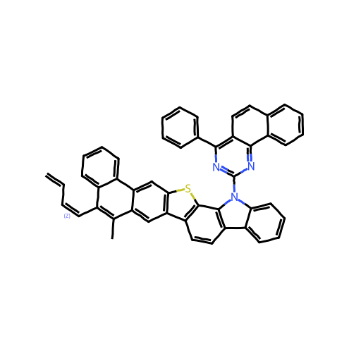 C=C/C=C\c1c(C)c2cc3c(cc2c2ccccc12)sc1c3ccc2c3ccccc3n(-c3nc(-c4ccccc4)c4ccc5ccccc5c4n3)c21